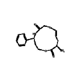 N[C@@H]1C/C=C/CCC(=O)N[C@H](c2ccccc2)CCOC1=O